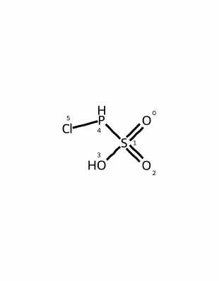 O=S(=O)(O)PCl